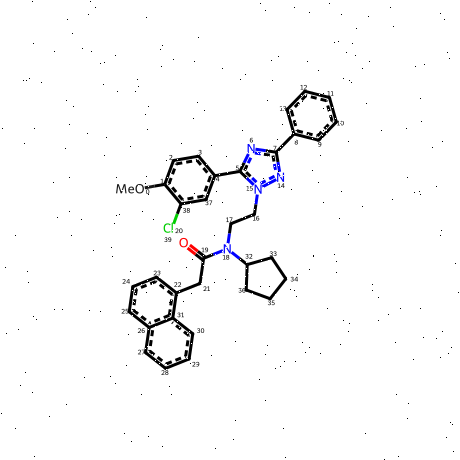 COc1ccc(-c2nc(-c3ccccc3)nn2CCN(C(=O)Cc2cccc3ccccc23)C2CCCC2)cc1Cl